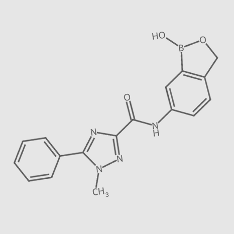 Cn1nc(C(=O)Nc2ccc3c(c2)B(O)OC3)nc1-c1ccccc1